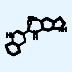 CC(C)(C)c1cc2cc[nH]c2cc1NC(=O)C1=CNc2ccccc2C1